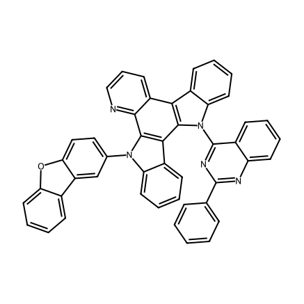 c1ccc(-c2nc(-n3c4ccccc4c4c5cccnc5c5c(c6ccccc6n5-c5ccc6oc7ccccc7c6c5)c43)c3ccccc3n2)cc1